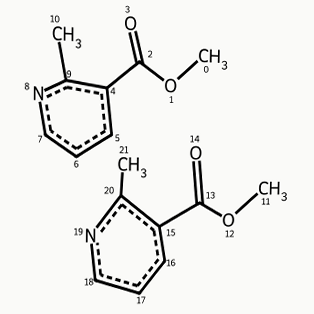 COC(=O)c1cccnc1C.COC(=O)c1cccnc1C